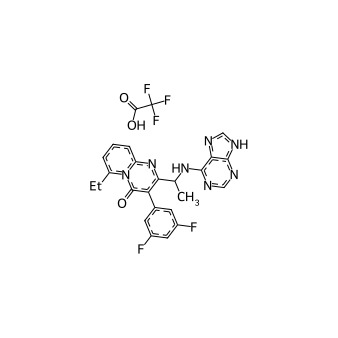 CCc1cccc2nc(C(C)Nc3ncnc4[nH]cnc34)c(-c3cc(F)cc(F)c3)c(=O)n12.O=C(O)C(F)(F)F